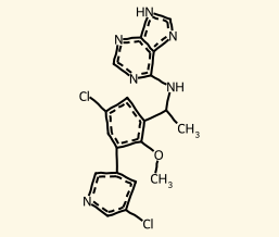 COc1c(-c2cncc(Cl)c2)cc(Cl)cc1C(C)Nc1ncnc2[nH]cnc12